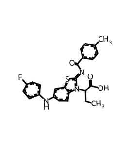 CCC(C(=O)O)n1c(=NC(=O)c2ccc(C)cc2)sc2cc(Nc3ccc(F)cc3)ccc21